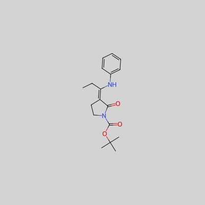 CC/C(Nc1ccccc1)=C1\CCN(C(=O)OC(C)(C)C)C1=O